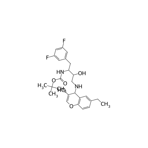 CCc1ccc2c(c1)C(NCC(O)C(Cc1cc(F)cc(F)c1)NC(=O)OC(C)(C)C)C(O)=CO2